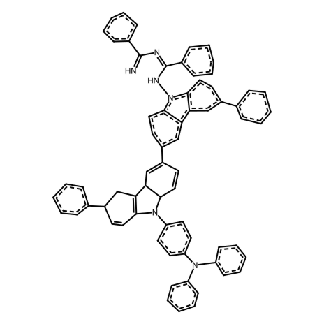 N=C(/N=C(\Nn1c2ccc(C3=CC4C5=C(C=CC(c6ccccc6)C5)N(c5ccc(N(c6ccccc6)c6ccccc6)cc5)C4C=C3)cc2c2cc(-c3ccccc3)ccc21)c1ccccc1)c1ccccc1